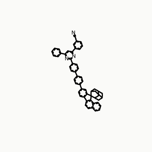 N#Cc1cccc(-c2cc(-c3ccccc3)nc(-c3ccc(-c4ccc(-c5ccc6c(c5)C5(c7c-6ccc6ccccc76)C6CC7CC(C6)CC5C7)cc4)cc3)n2)c1